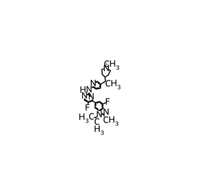 Cc1nc2c(F)cc(-c3nc(Nc4ccc(C(C)C5CCN(C)CC5)cn4)ncc3F)cc2n1C(C)C